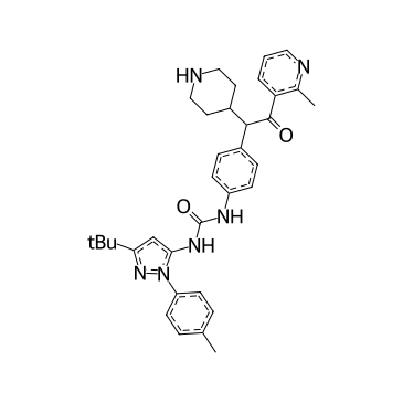 Cc1ccc(-n2nc(C(C)(C)C)cc2NC(=O)Nc2ccc(C(C(=O)c3cccnc3C)C3CCNCC3)cc2)cc1